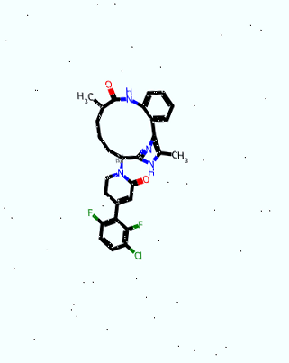 Cc1[nH]c2nc1-c1ccccc1NC(=O)C(C)CCC[C@@H]2N1CCC(c2c(F)ccc(Cl)c2F)=CC1=O